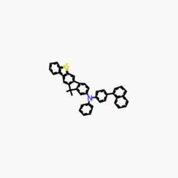 CC1(C)c2cc(N(c3ccccc3)c3ccc(-c4cccc5ccccc45)cc3)ccc2-c2cc3sc4ccccc4c3cc21